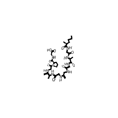 C=C(CNC(=O)CNC(=O)C(C)NC(=O)CNC(=O)C(C)CCCC)NCC(=O)NC(C)C(=C)NCC(=O)N1CCCC1C(=O)NCC(=O)O